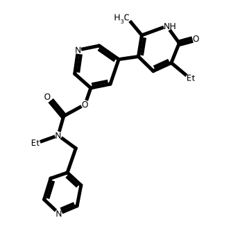 CCc1cc(-c2cncc(OC(=O)N(CC)Cc3ccncc3)c2)c(C)[nH]c1=O